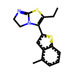 CCC1=C(c2cc3c(C)cccc3s2)N2CCN=C2S1